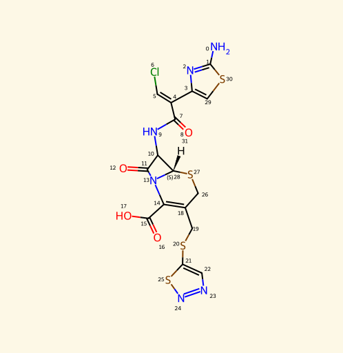 Nc1nc(C(=CCl)C(=O)NC2C(=O)N3C(C(=O)O)=C(CSc4cnns4)CS[C@@H]23)cs1